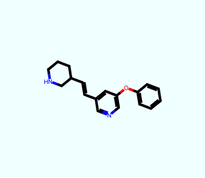 C(=CC1CCCNC1)c1cncc(Oc2ccccc2)c1